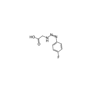 O=C(O)CN/N=N\c1ccc(F)cc1